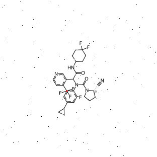 N#C[C@@H]1CCCN1C(=O)N(c1ccc(C2CC2)cc1F)C(C(=O)NC1CCC(F)(F)CC1)c1cnccc1C(F)(F)F